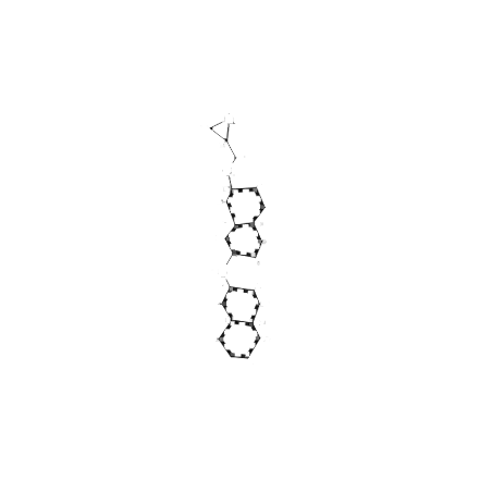 c1ccc2cc(Oc3ccc4ccc(OCC5CO5)cc4c3)ccc2c1